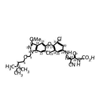 COc1nn(COCC[Si](C)(C)C)c2ccc(Oc3c(Cl)cc(N/N=C(/C#N)C(=O)NC(=O)O)cc3Cl)cc12